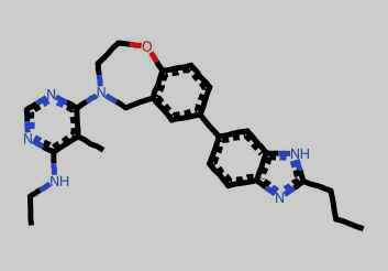 CCCc1nc2ccc(-c3ccc4c(c3)CN(c3ncnc(NCC)c3C)CCO4)cc2[nH]1